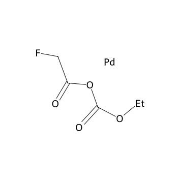 CCOC(=O)OC(=O)CF.[Pd]